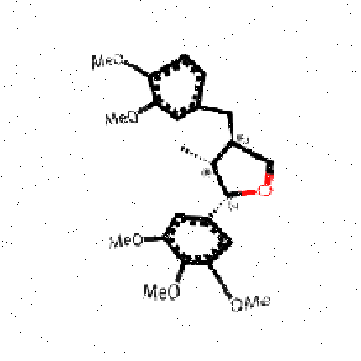 COc1ccc(C[C@H]2CO[C@H](c3cc(OC)c(OC)c(OC)c3)[C@@H]2C)cc1OC